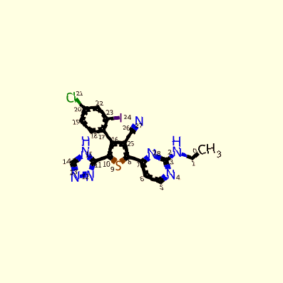 CCNc1nccc(-c2sc(-c3nnc[nH]3)c(-c3ccc(Cl)cc3I)c2C#N)n1